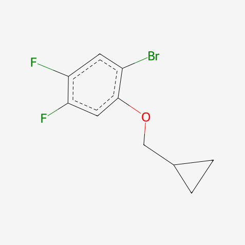 Fc1cc(Br)c(OCC2CC2)cc1F